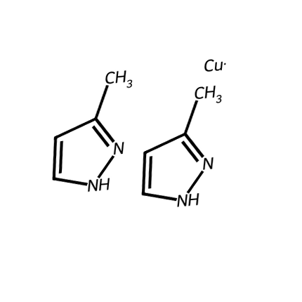 Cc1cc[nH]n1.Cc1cc[nH]n1.[Cu]